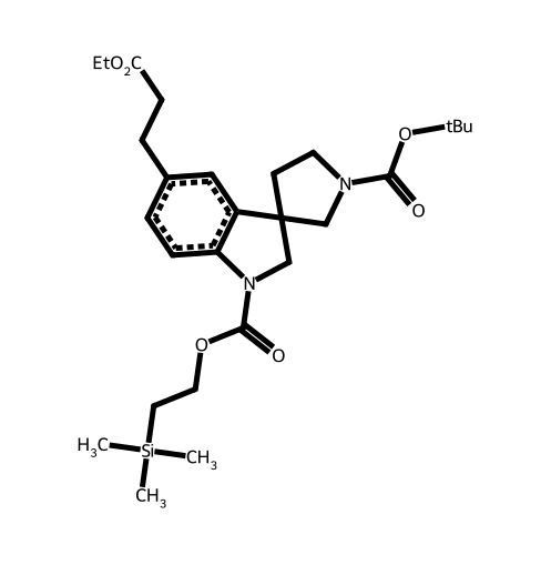 CCOC(=O)CCc1ccc2c(c1)C1(CCN(C(=O)OC(C)(C)C)C1)CN2C(=O)OCC[Si](C)(C)C